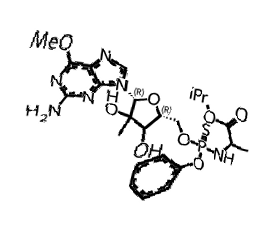 COc1nc(N)nc2c1ncn2[C@@H]1O[C@H](COP(=S)(NC(C)C(=O)OC(C)C)Oc2ccccc2)C(O)C1(C)O